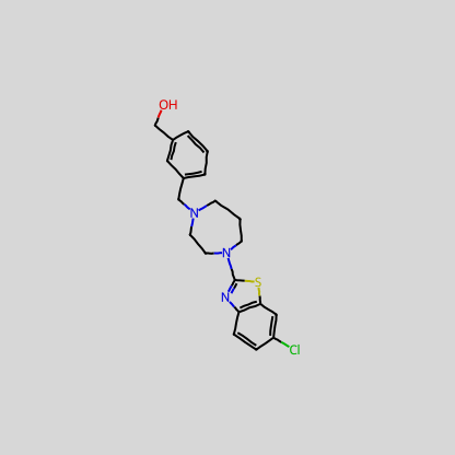 OCc1cccc(CN2CCCN(c3nc4ccc(Cl)cc4s3)CC2)c1